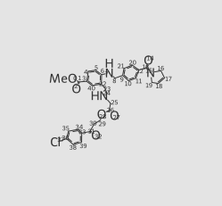 COC(=O)c1ccc(NCc2ccc(C(=O)N3CC=CC3)cc2)c(CNCC(=O)OCCC(=O)c2ccc(Cl)cc2)c1